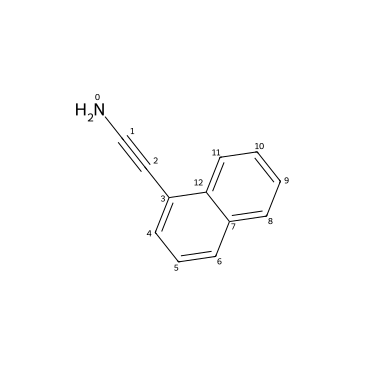 NC#Cc1cccc2ccccc12